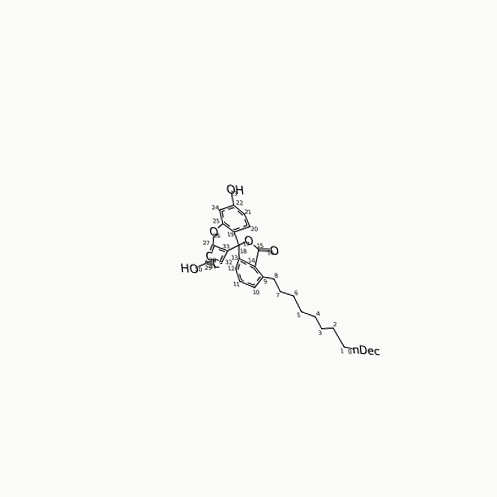 CCCCCCCCCCCCCCCCCCc1cccc2c1C(=O)OC21c2ccc(O)cc2Oc2cc(O)ccc21